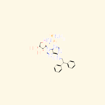 NS(=O)(=O)NC[C@@]1(n2cnc3c(NCC(c4ccccc4)c4ccccc4)ncnc32)OC[C@@H](O)[C@@H]1O